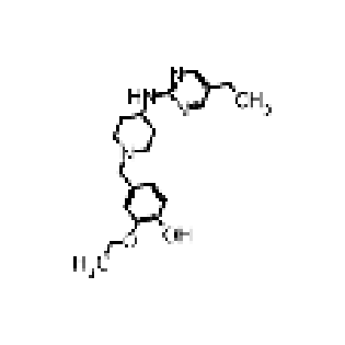 CCOc1cc(CN2CCC(Nc3ncc(CC)cn3)CC2)ccc1O